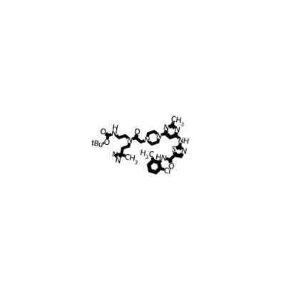 Cc1nc(Nc2ncc(C(=O)Nc3c(C)cccc3Cl)s2)cc(N2CCN(CC(=O)N(CCNC(=O)OC(C)(C)C)CCC3(C)N=N3)CC2)n1